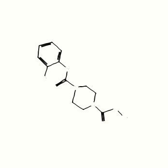 CC(C)(C)OC(=O)N1CCN(C(=S)Nc2ccccc2C#N)CC1